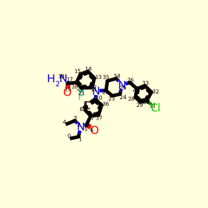 CCN(CC)C(=O)c1ccc(N(c2cccc(C(N)=O)c2F)C2CCN(Cc3ccc(Cl)cc3)CC2)cc1